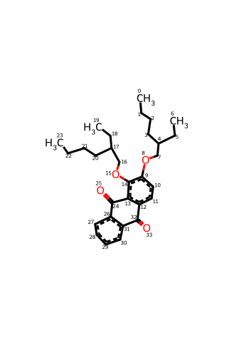 CCCCC(CC)COc1ccc2c(c1OCC(CC)CCCC)C(=O)c1ccccc1C2=O